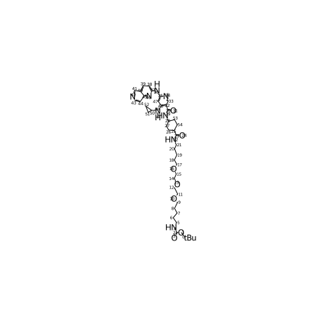 CC(C)(C)OC(=O)NCCCCCOCCOCCOCCCCCNC(=O)C1CCC(NC(=O)c2cnc(Nc3ccc4cnccc4n3)cc2NC2CC2)CC1